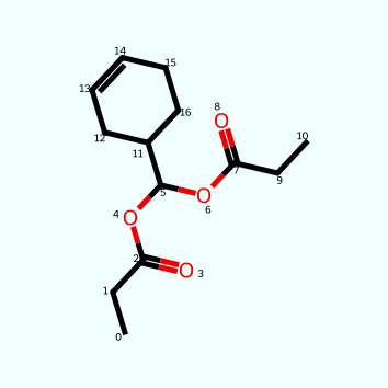 CCC(=O)OC(OC(=O)CC)C1CC=CCC1